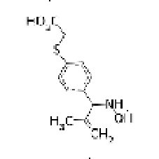 C=C(C)C(NO)c1ccc(SCC(=O)O)cc1